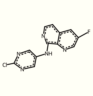 Fc1cnc2c(Nc3cnc(Cl)nc3)nccc2c1